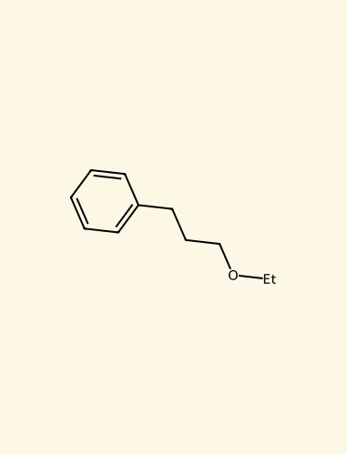 [CH2]COCCCc1ccccc1